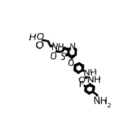 NCc1ccc(F)c(NC(=O)Nc2ccc(Oc3ccnc4cc(C(=O)NCCC(=O)O)sc34)cc2)c1